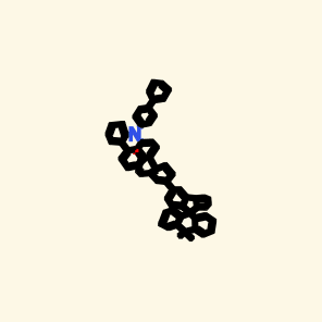 CC1(C)c2ccccc2C2(c3ccccc3-c3cc(-c4ccc5c(ccc6cc(N(c7ccc(-c8ccccc8)cc7)c7ccccc7-c7ccccc7)ccc65)c4)ccc32)c2ccccc21